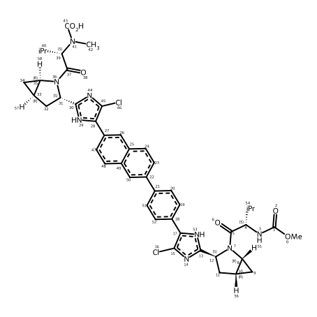 COC(=O)N[C@H](C(=O)N1[C@@H]2C[C@@H]2C[C@H]1c1nc(Cl)c(-c2ccc(-c3ccc4cc(-c5[nH]c([C@@H]6C[C@H]7C[C@H]7N6C(=O)[C@H](C(C)C)N(C)C(=O)O)nc5Cl)ccc4c3)cc2)[nH]1)C(C)C